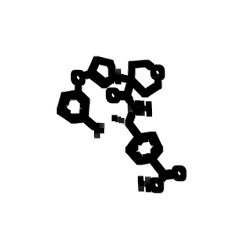 C[C@H](NC(=O)C1(N2C=C(Oc3cccc(F)c3)CC2)CCOCC1)c1ccc(C(=O)O)cc1